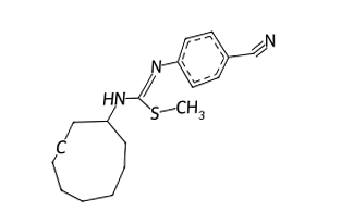 CS/C(=N\c1ccc(C#N)cc1)NC1CCCCCCCC1